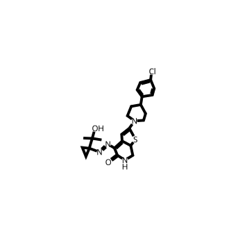 CC(C)(O)C1(N=NC2=C3C=C(N4CCC(c5ccc(Cl)cc5)CC4)SC3CNC2=O)CC1